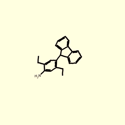 CCc1cc(C2c3ccccc3-c3ccccc32)c(CC)cc1N